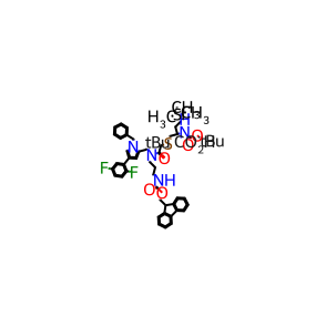 CC(C)(C)OC(=O)N[C@@](CC[Si](C)(C)C)(CSCC(=O)N(CCCNC(=O)OCC1c2ccccc2-c2ccccc21)[C@@H](c1cc(-c2cc(F)ccc2F)cn1Cc1ccccc1)C(C)(C)C)C(=O)O